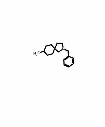 CC1CCC2(CC1)CCN(Cc1ccccc1)C2